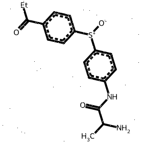 CCC(=O)c1ccc([S+]([O-])c2ccc(NC(=O)C(C)N)cc2)cc1